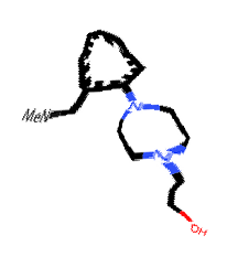 CNCc1ccccc1N1CCN(CCO)CC1